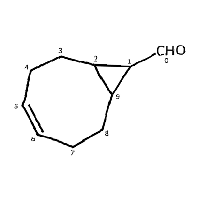 O=CC1C2CC/C=C\CCC12